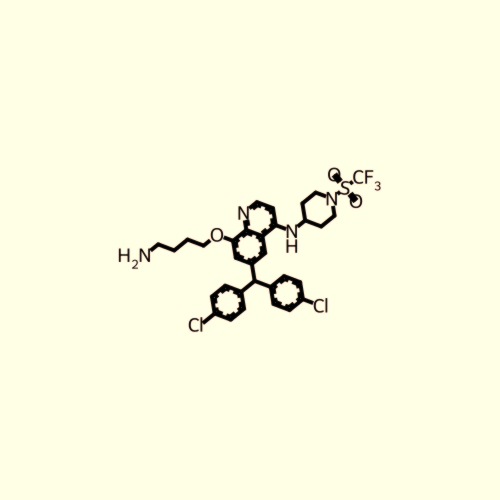 NCCCCOc1cc(C(c2ccc(Cl)cc2)c2ccc(Cl)cc2)cc2c(NC3CCN(S(=O)(=O)C(F)(F)F)CC3)ccnc12